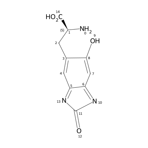 N[C@@H](Cc1cc2c(cc1O)=NC(=O)N=2)C(=O)O